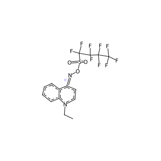 CCn1cc/c(=N\OS(=O)(=O)C(F)(F)C(F)(F)C(F)(F)C(F)(F)F)c2ccccc21